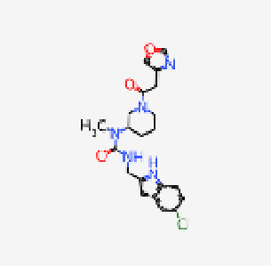 CN(C(=O)NCc1cc2cc(Cl)ccc2[nH]1)[C@@H]1CCCN(C(=O)Cc2cocn2)C1